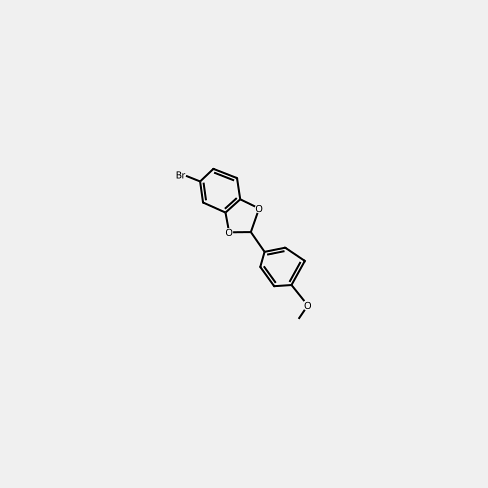 COc1ccc(C2Oc3ccc(Br)cc3O2)cc1